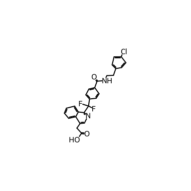 O=C(O)Cc1cnc(C(F)(F)c2ccc(C(=O)NCCc3ccc(Cl)cc3)cc2)c2ccccc12